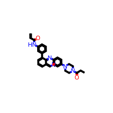 C=CC(=O)Nc1cccc(C2=CC=CC(=C/N=C)/C2=N\c2ccc(N3CCN(C(=O)CC)CC3)cc2)c1